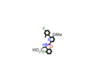 COc1ccc(C(=O)NC(CC(=O)O)c2ccccc2F)nc1-c1ccc(F)cc1C